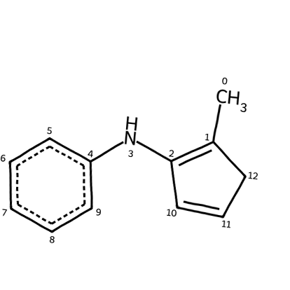 CC1=C(Nc2ccccc2)C=CC1